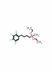 CCO[Si](C)(CCCCc1cc(F)c(F)c(F)c1F)OCC